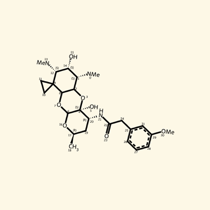 CN[C@@H]1C2O[C@]3(O)C(OC2C2(CC2)[C@H](NC)[C@@H]1O)O[C@H](C)C[C@H]3NC(=O)Cc1cccc(OC)c1